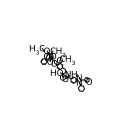 CCOC(=O)C(C)OP(=O)(COc1ccc(CC(NC(=O)c2ccc3c(c2)nc(-c2ccoc2)n3C2CCCCC2)C(=O)O)cc1OC)Oc1ccccc1